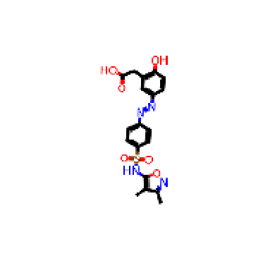 Cc1noc(NS(=O)(=O)c2ccc(N=Nc3ccc(O)c(CC(=O)O)c3)cc2)c1C